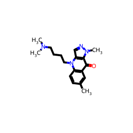 Cc1ccc2c(c1)c(=O)c1c(cnn1C)n2CCCCN(C)C